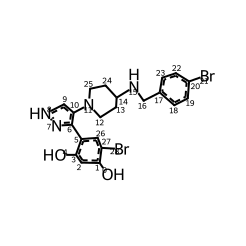 Oc1cc(O)c(-c2n[nH]cc2N2CCC(NCc3ccc(Br)cc3)CC2)cc1Br